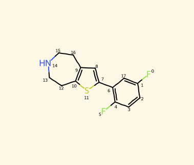 Fc1ccc(F)c(-c2cc3c(s2)CCNCC3)c1